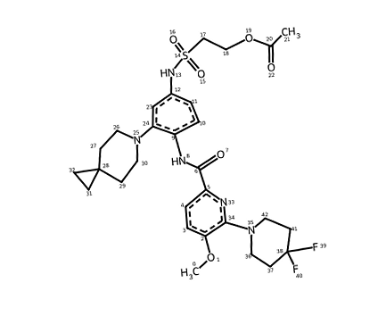 COc1ccc(C(=O)Nc2ccc(NS(=O)(=O)CCOC(C)=O)cc2N2CCC3(CC2)CC3)nc1N1CCC(F)(F)CC1